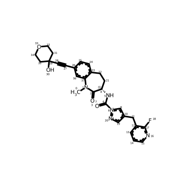 CN1C(=O)[C@@H](NC(=O)n2cc(Cc3cccnc3F)cn2)CCc2ccc(C#CC3(O)CCOCC3)cc21